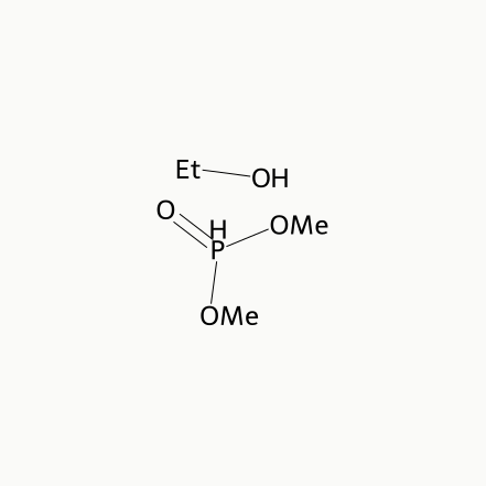 CCO.CO[PH](=O)OC